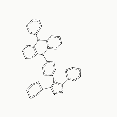 c1ccc(-c2nnc(-c3ccccc3)n2-c2ccc(N3c4ccccc4N(c4ccccc4)c4ccccc43)cc2)cc1